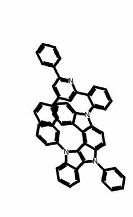 c1ccc(-c2cc(-c3ccccc3)nc(-c3ccccc3-n3c4ccccc4c4c5c(ccc43)n(-c3ccccc3)c3c4ccccc4n(-c4ccccc4)c53)c2)cc1